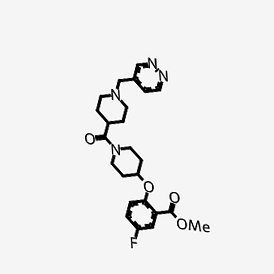 COC(=O)c1cc(F)ccc1OC1CCN(C(=O)C2CCN(Cc3ccnnc3)CC2)CC1